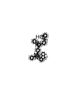 CC1(C)c2ccccc2-c2c(-c3nc(C4=CC=C(c5cc(C6=CC=CC(C(C)(C)c7ccccc7O)C6)nc(-c6ccccc6)n5)CC4)nc(-c4ccccc4)n3)cccc21